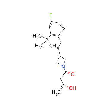 C=C(O)CC(=O)N1CC(CCc2ccc(F)cc2C(C)(C)C)C1